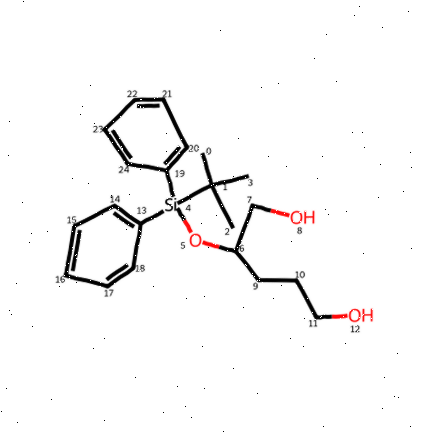 CC(C)(C)[Si](OC(CO)CCCO)(c1ccccc1)c1ccccc1